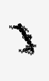 COCC(=O)N1CCC[C@@]1(C)C(=O)N1CCN(c2ccc(NC(=O)c3ccc(-c4ccc(-c5c[nH]c([C@@H]6C[C@H](SC)CN6C(=O)CNC(=O)OC)n5)cc4)c(OC(F)(F)F)c3)cn2)[C@H](C)C1